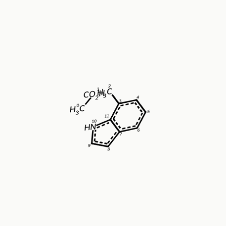 CC(=O)O.Cc1cccc2cc[nH]c12